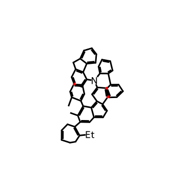 CCC1=C(c2cc3ccc4ccc(N(c5ccccc5-c5ccccc5)c5cccc6c5-c5ccccc5C6)cc4c3c(-c3ccccc3C)c2C)CC=CCC1